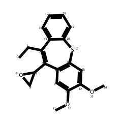 CCC1=C(C2CO2)c2cc(OC)c(OC)cc2Sc2ccccc21